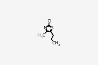 CCCc1sc(Cl)nc1C